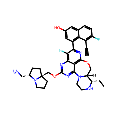 C#Cc1c(F)ccc2cc(O)cc(-c3nc4c5c(nc(OC[C@@]67CCCN6[C@H](CN)CC7)nc5c3F)N3CCN[C@@H](CC)[C@H]3CO4)c12